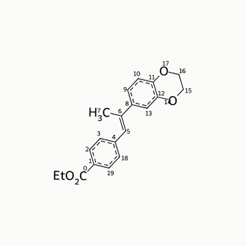 CCOC(=O)c1ccc(C=C(C)c2ccc3c(c2)OCCO3)cc1